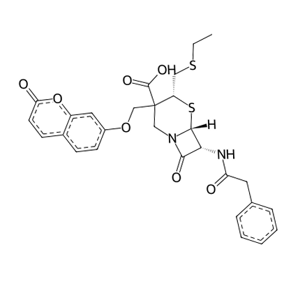 CCSC[C@@H]1S[C@@H]2[C@H](NC(=O)Cc3ccccc3)C(=O)N2CC1(COc1ccc2ccc(=O)oc2c1)C(=O)O